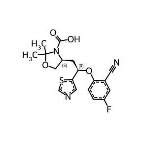 CC1(C)OC[C@H](C[C@@H](Oc2ccc(F)cc2C#N)c2cncs2)N1C(=O)O